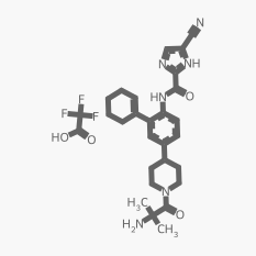 CC(C)(N)C(=O)N1CCC(c2ccc(NC(=O)c3ncc(C#N)[nH]3)c(C3=CCCCC3)c2)CC1.O=C(O)C(F)(F)F